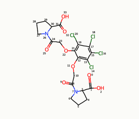 O=C(O)C1CCCN1C(=O)COc1c(Cl)c(Cl)c(Cl)c(Cl)c1OCC(=O)N1CCCC1C(=O)O